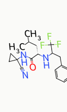 CC(C)C[C@H](NC(Cc1ccccc1)C(F)(F)F)C(=O)NC1(C#N)CC1